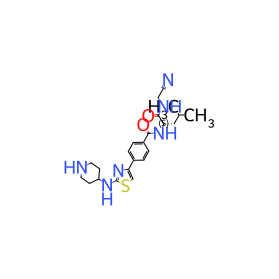 CC(C)C[C@H](NC(=O)c1ccc(-c2csc(NC3CCNCC3)n2)cc1)C(=O)NCC#N